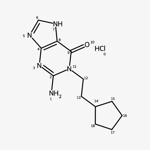 Cl.Nc1nc2nc[nH]c2c(=O)n1CCC1CCCC1